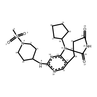 CS(=O)(=O)N1CCC(Nc2ncc3c(n2)N(C2CCCC2)C2(CC(=O)NC2=O)C3)CC1